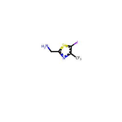 NCc1nc(C(F)(F)F)c(I)s1